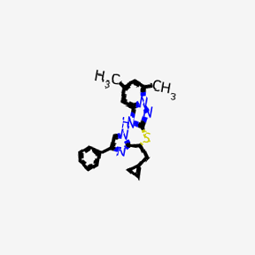 Cc1cc(C)n2nc(SC(CC3CC3)c3nc(-c4ccccc4)c[nH]3)nc2c1